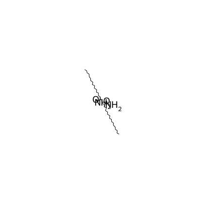 CCCCCCCCCCCCCCCC=C(CCC(=CCCCCCCCCCCCCCCC)C(N)=O)C(N)=O